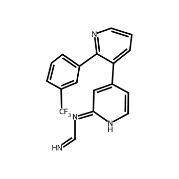 N=C/N=c1/cc(-c2cccnc2-c2cccc(C(F)(F)F)c2)cc[nH]1